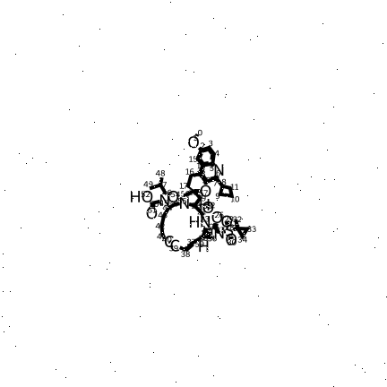 COc1ccc2nc(C3CCC3)c3c(c2c1)CC[C@]1(C[C@H]2C(=O)N[C@]4(C(=O)NS(=O)(=O)C5(C)CC5)C[C@H]4/C=C\CCCCC[C@H](N(CC(C)C)C(=O)O)C(=O)N2C1)O3